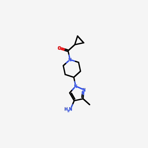 Cc1nn(C2CCN(C(=O)C3CC3)CC2)cc1N